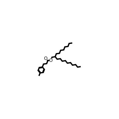 CCCCCCCCCCC(CCCCCCCC)COC(=O)CCc1ccc(C)cc1